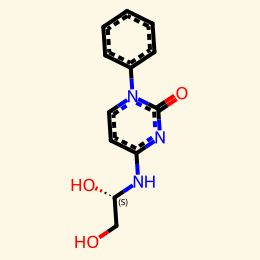 O=c1nc(N[C@@H](O)CO)ccn1-c1ccccc1